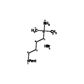 Br.CCCCCCCCCC(C)(C)N